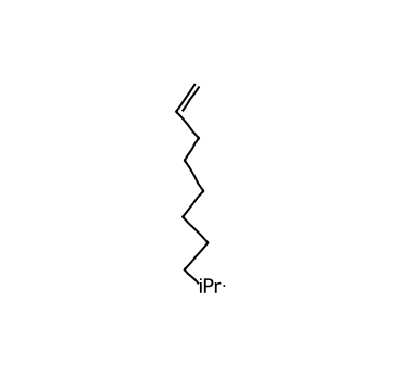 C=CCCCCCC[C](C)C